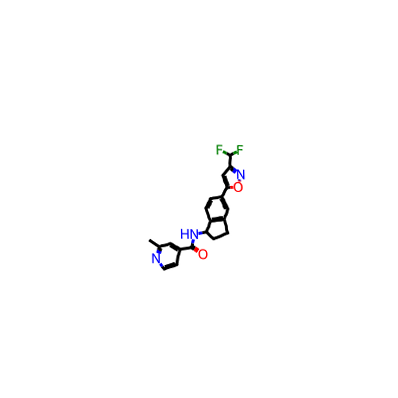 Cc1cc(C(=O)NC2CCc3cc(-c4cc(C(F)F)no4)ccc32)ccn1